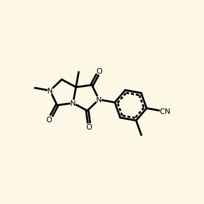 Cc1cc(N2C(=O)N3C(=O)N(C)CC3(C)C2=O)ccc1C#N